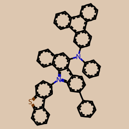 c1ccc(-c2ccc3c4c(N(c5ccccc5)c5ccc6c7ccccc7c7ccccc7c6c5)cc5ccccc5c4n(-c4ccc5sc6ccccc6c5c4)c3c2)cc1